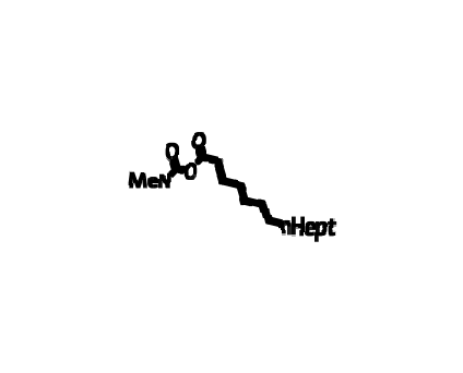 CCCCCCCCCCCCCC(=O)OC(=O)NC